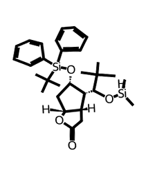 C[SiH](C)OC([C@@H]1[C@@H]2CC(=O)O[C@@H]2C[C@@H]1O[Si](c1ccccc1)(c1ccccc1)C(C)(C)C)C(C)(C)C